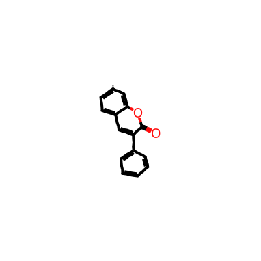 O=c1oc2c[c]ccc2cc1-c1ccccc1